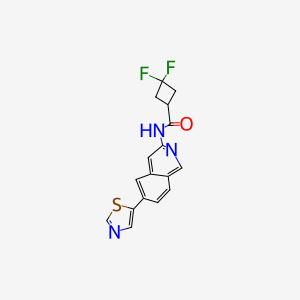 O=C(Nc1cc2cc(-c3cncs3)ccc2cn1)C1CC(F)(F)C1